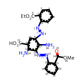 CCOC(=O)c1ccccc1/N=N/c1cc(S(=O)(=O)O)c(N)c(/N=N/c2ccccc2C(=O)OC)c1N